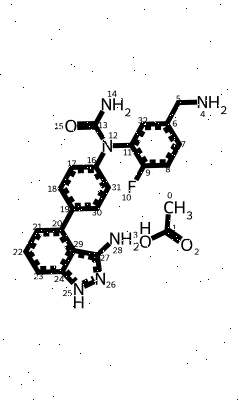 CC(=O)O.NCc1ccc(F)c(N(C(N)=O)c2ccc(-c3cccc4[nH]nc(N)c34)cc2)c1